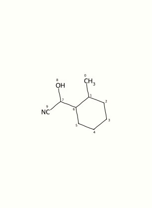 CC1CCCCC1C(O)C#N